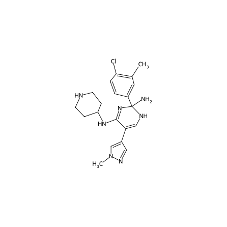 Cc1cc(C2(N)N=C(NC3CCNCC3)C(c3cnn(C)c3)=CN2)ccc1Cl